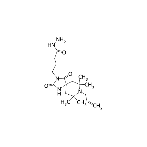 C=CCN1C(C)(C)CC2(CC1(C)C)NC(=O)N(CCCC(=O)NN)C2=O